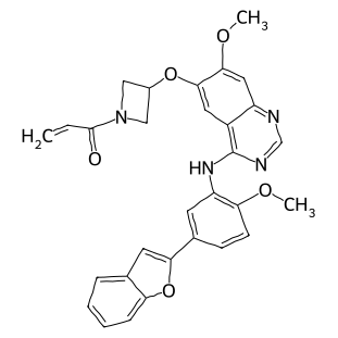 C=CC(=O)N1CC(Oc2cc3c(Nc4cc(-c5cc6ccccc6o5)ccc4OC)ncnc3cc2OC)C1